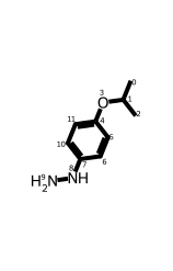 CC(C)Oc1ccc(NN)cc1